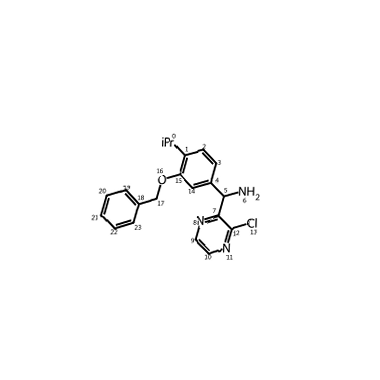 CC(C)c1ccc(C(N)c2nccnc2Cl)cc1OCc1ccccc1